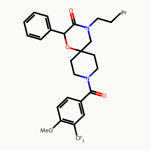 COc1ccc(C(=O)N2CCC3(CC2)CN(CCC(C)C)C(=O)C(c2ccccc2)O3)cc1C(F)(F)F